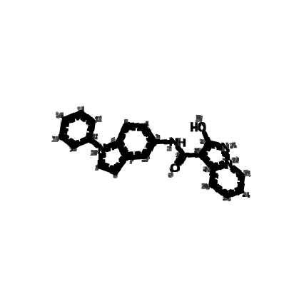 O=C(Nc1ccc2c(ccn2-c2ccccc2)c1)c1c(O)nn2ccccc12